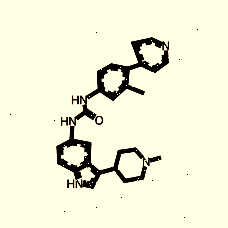 Cc1cc(NC(=O)Nc2ccc3[nH]cc(C4CCN(C)CC4)c3c2)ccc1-c1ccncc1